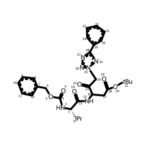 CC(C)[C@H](NC(=O)OCc1ccccc1)C(=O)NC(CC(=O)OC(C)(C)C)C(=O)Cn1nnc(-c2ccccc2)n1